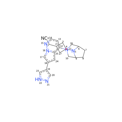 N#CCC1CC(N2C3CCC2CN(c2ccnn4cc(-c5cn[nH]c5)cc24)C3)C1